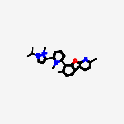 Cc1ccc2c(n1)oc1c(-c3cccc(-c4ccn(C(C)C)[n+]4C)[n+]3C)c(C)ccc12